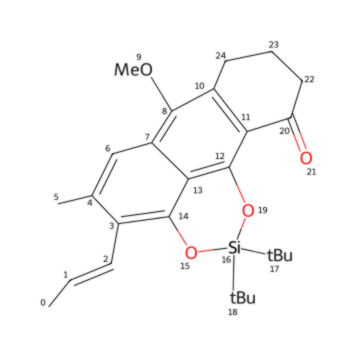 C/C=C/c1c(C)cc2c(OC)c3c(c4c2c1O[Si](C(C)(C)C)(C(C)(C)C)O4)C(=O)CCC3